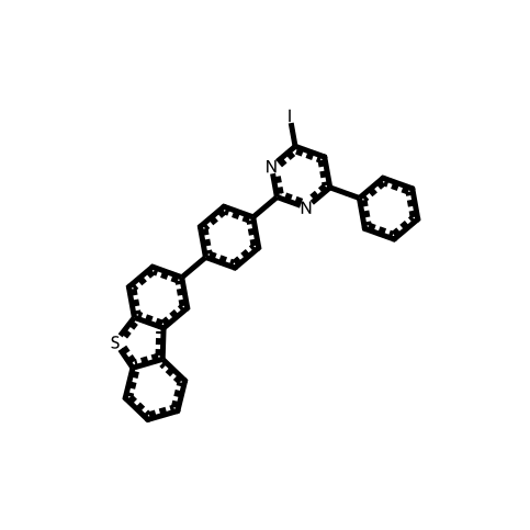 Ic1cc(-c2ccccc2)nc(-c2ccc(-c3ccc4sc5ccccc5c4c3)cc2)n1